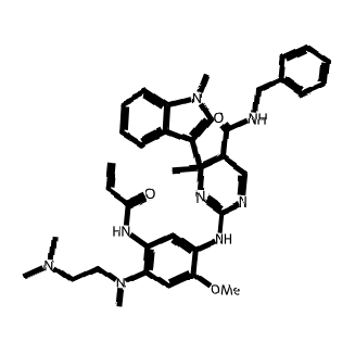 C=CC(=O)Nc1cc(NC2=NC(C)(c3cn(C)c4ccccc34)C(C(=O)NCc3ccccc3)C=N2)c(OC)cc1N(C)CCN(C)C